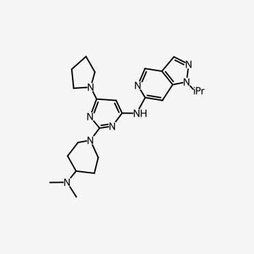 CC(C)n1ncc2cnc(Nc3cc(N4CCCC4)nc(N4CCC(N(C)C)CC4)n3)cc21